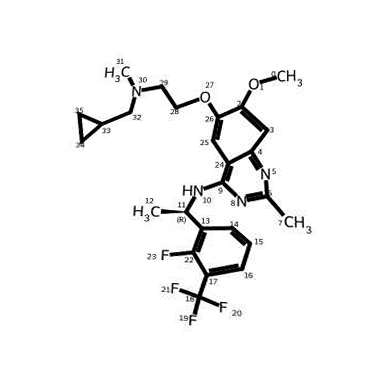 COc1cc2nc(C)nc(N[C@H](C)c3cccc(C(F)(F)F)c3F)c2cc1OCCN(C)CC1CC1